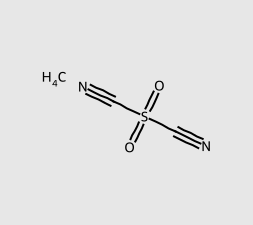 C.N#CS(=O)(=O)C#N